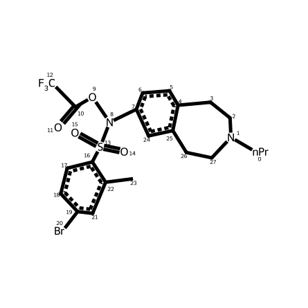 CCCN1CCc2ccc(N(OC(=O)C(F)(F)F)S(=O)(=O)c3ccc(Br)cc3C)cc2CC1